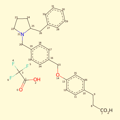 O=C(O)C(F)(F)F.O=C(O)CCc1ccc(OCc2ccc(CN3CCCC3Cc3ccccc3)cc2)cc1